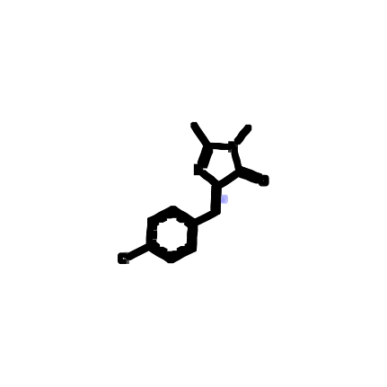 CC1=N/C(=C\c2ccc(Cl)cc2)C(=O)N1C